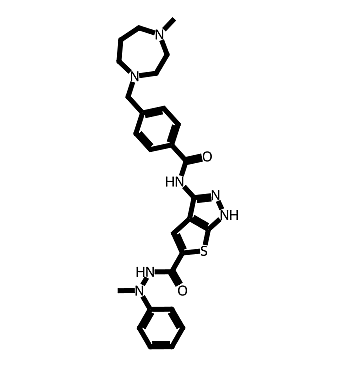 CN1CCCN(Cc2ccc(C(=O)Nc3n[nH]c4sc(C(=O)NN(C)c5ccccc5)cc34)cc2)CC1